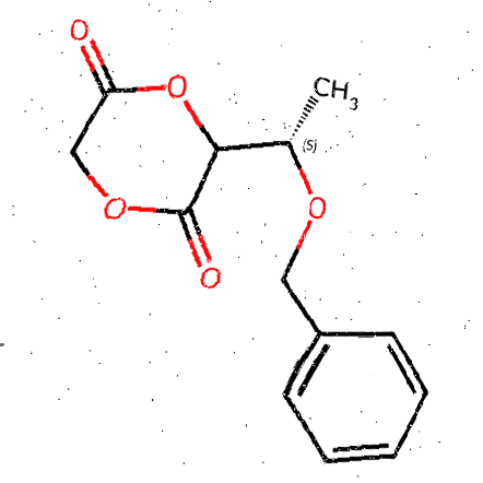 C[C@H](OCc1ccccc1)C1OC(=O)COC1=O